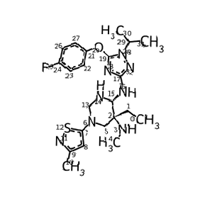 CC[C@@]1(NC)CN(c2cc(C)ns2)CN[C@H]1Nc1nc(Oc2ccc(F)cc2)n(C(C)C)n1